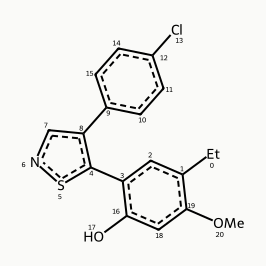 CCc1cc(-c2sncc2-c2ccc(Cl)cc2)c(O)cc1OC